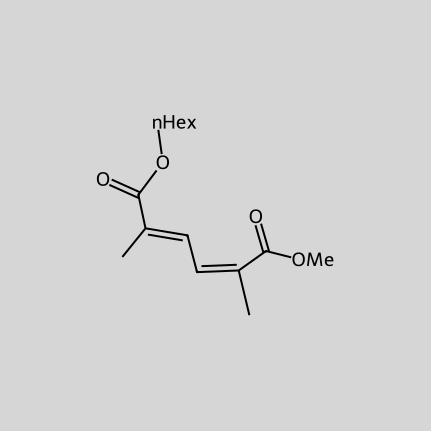 CCCCCCOC(=O)C(C)=CC=C(C)C(=O)OC